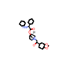 O=C(C[N+]12CCC(CC1)[C@@H](OC(=O)C(Nc1ccccc1)c1ccccc1)C2)c1ccc2c(c1)OCO2